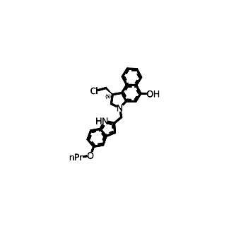 CCCOc1ccc2[nH]c(CN3C[C@@H](CCl)c4c3cc(O)c3ccccc43)cc2c1